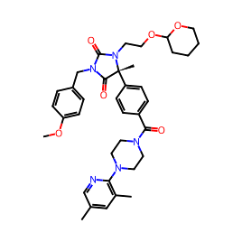 COc1ccc(CN2C(=O)N(CCOC3CCCCO3)[C@](C)(c3ccc(C(=O)N4CCN(c5ncc(C)cc5C)CC4)cc3)C2=O)cc1